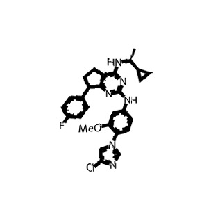 COc1cc(Nc2nc(N[C@@H](C)C3CC3)c3c(n2)C(c2ccc(F)cc2)CC3)ccc1-n1cnc(Cl)c1